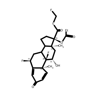 CCC(=O)O[C@]1(C(=O)SCF)CCC2C3C[C@H](F)C4=CC(=O)C=C[C@]4(C)[C@@]3(F)[C@@H](O)C[C@@]21C